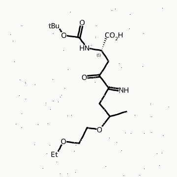 CCOCCOC(C)CC(=N)C(=O)C[C@H](NC(=O)OC(C)(C)C)C(=O)O